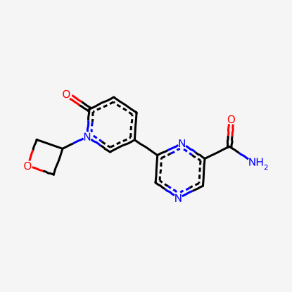 NC(=O)c1cncc(-c2ccc(=O)n(C3COC3)c2)n1